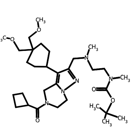 COCC1(COC)CCC(c2c(CN(C)CCN(C)C(=O)OC(C)(C)C)nn3c2CN(C(=O)C2CCC2)CC3)CC1